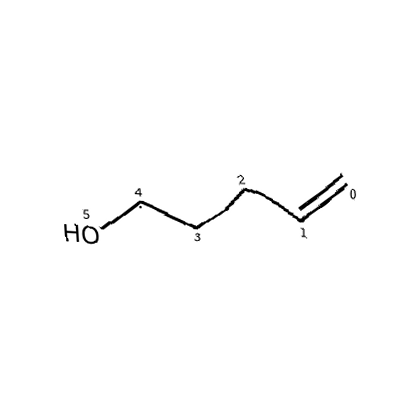 C=CCC[CH]O